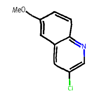 COc1ccc2ncc(Cl)cc2c1